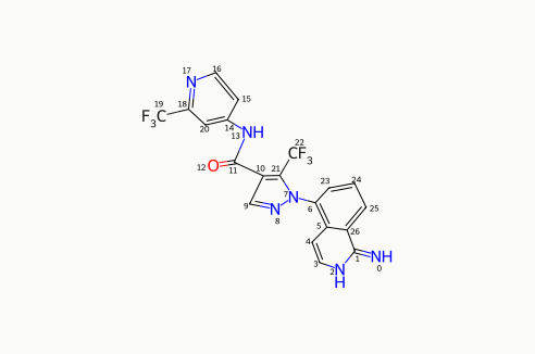 N=c1[nH]ccc2c(-n3ncc(C(=O)Nc4ccnc(C(F)(F)F)c4)c3C(F)(F)F)cccc12